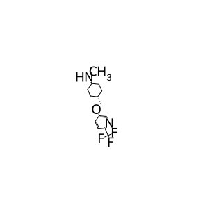 CN[C@H]1CC[C@H](COc2ccc(C(F)(F)F)nc2)CC1